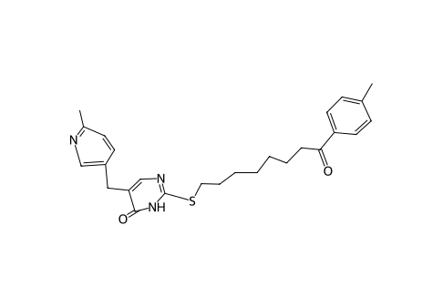 Cc1ccc(C(=O)CCCCCCCSc2ncc(Cc3ccc(C)nc3)c(=O)[nH]2)cc1